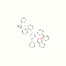 c1ccc2c(c1)Oc1ccccc1C21c2ccccc2-c2ccc(-c3nc(-c4ccccc4-c4cccc5ccccc45)cc(-c4cccc5c4oc4ccccc45)n3)cc21